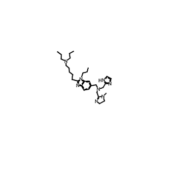 CCCN(CCC)CCCCCc1nc2ccc(CN(CC3=NCCN3C)Cc3ncc[nH]3)cc2n1CCC